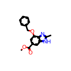 COC(=O)c1cc(OCc2ccccc2)c2nc(C)[nH]c2c1